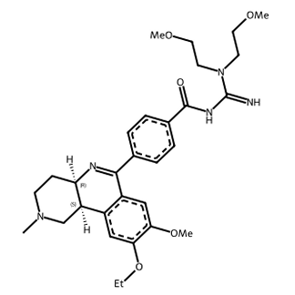 CCOc1cc2c(cc1OC)C(c1ccc(C(=O)NC(=N)N(CCOC)CCOC)cc1)=N[C@@H]1CCN(C)C[C@H]21